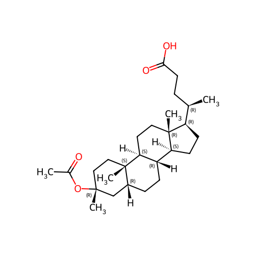 CC(=O)O[C@]1(C)CC[C@@]2(C)[C@H](CC[C@@H]3[C@@H]2CC[C@]2(C)[C@@H]([C@H](C)CCC(=O)O)CC[C@@H]32)C1